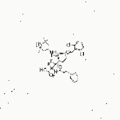 CC1(C)CC(N)CC(C)(C)N1.O=C(C=Cc1ccccc1)N(F)[C@](F)(C(=O)O)C(F)(F)c1ccc(OCc2c(Cl)cccc2Cl)cc1F